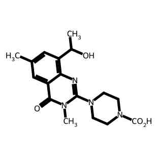 Cc1cc(C(C)O)c2nc(N3CCN(C(=O)O)CC3)n(C)c(=O)c2c1